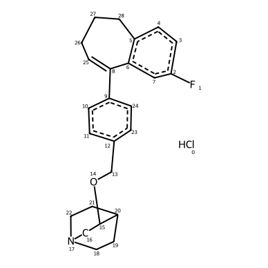 Cl.Fc1ccc2c(c1)C(c1ccc(COC3CN4CCC3CC4)cc1)=CCCC2